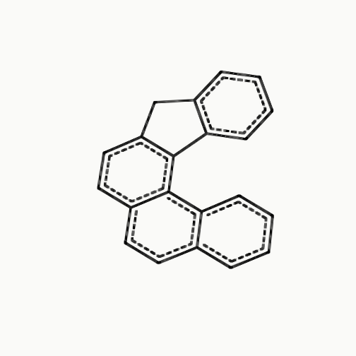 c1ccc2c(c1)Cc1ccc3ccc4ccccc4c3c1-2